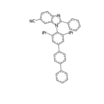 CC(C)c1cc(-c2ccc(-c3ccccc3)cc2)cc(C(C)C)c1-n1c(-c2ccccc2)nc2ccc(C#N)cc21